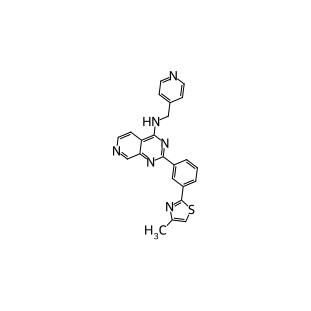 Cc1csc(-c2cccc(-c3nc(NCc4ccncc4)c4ccncc4n3)c2)n1